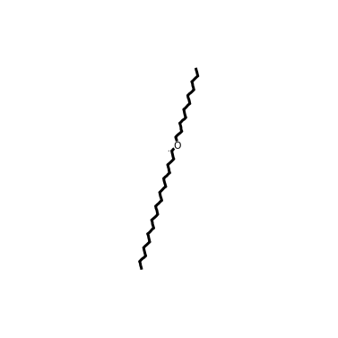 CCCCCCCCCCCCCCCCC[CH]OCCCCCCCCCCC